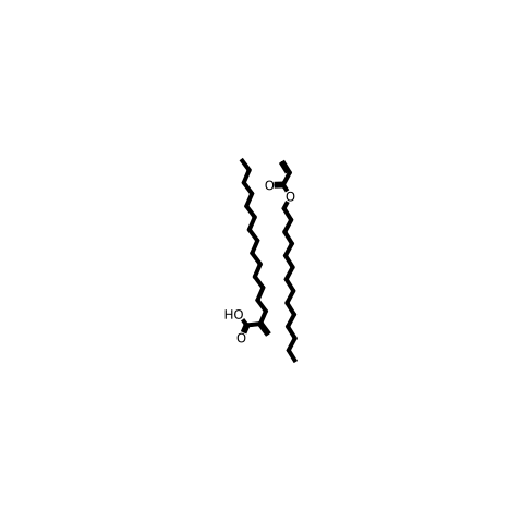 C=C(CCCCCCCCCCCCCC)C(=O)O.C=CC(=O)OCCCCCCCCCCCCCC